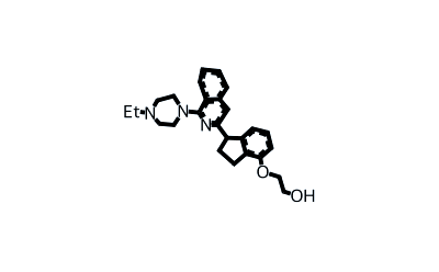 CCN1CCN(c2nc(C3CCc4c(OCCO)cccc43)cc3ccccc23)CC1